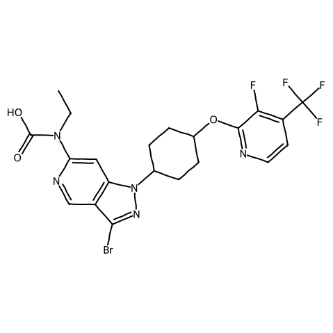 CCN(C(=O)O)c1cc2c(cn1)c(Br)nn2C1CCC(Oc2nccc(C(F)(F)F)c2F)CC1